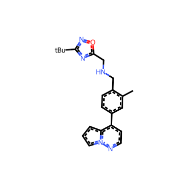 Cc1cc(-c2ccnn3cccc23)ccc1CNCc1nc(C(C)(C)C)no1